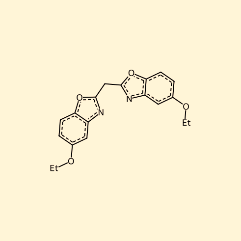 CCOc1ccc2oc(Cc3nc4cc(OCC)ccc4o3)nc2c1